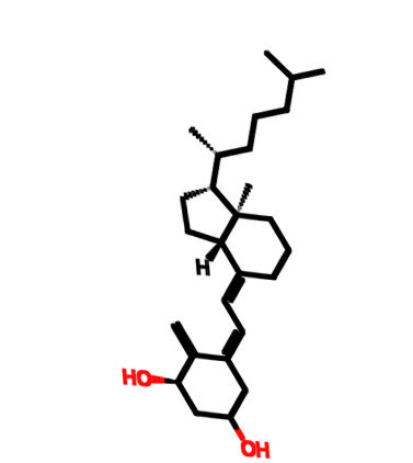 C=C1/C(=C\C=C2/CCC[C@]3(C)[C@@H]([C@H](C)CCCC(C)C)CC[C@@H]23)CC(O)C[C@H]1O